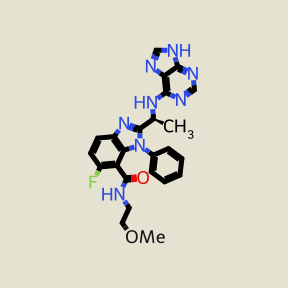 COCCNC(=O)c1c(F)ccc2nc([C@H](C)Nc3ncnc4[nH]cnc34)n(-c3ccccc3)c12